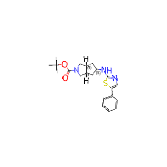 CC(C)(C)OC(=O)N1C[C@H]2C[C@H](Nc3ncc(-c4ccccc4)s3)C[C@H]2C1